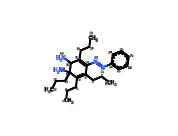 CCCC1=C(CCC)C(N)(CCC)C(N)C(CCC)=C1N=Nc1ccccc1